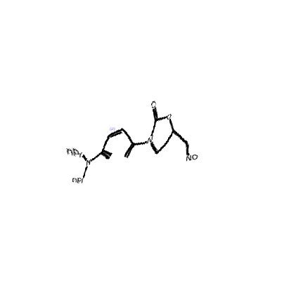 C=C(/C=C\C(=C)N1CC(CN=O)OC1=O)N(CCC)CCC